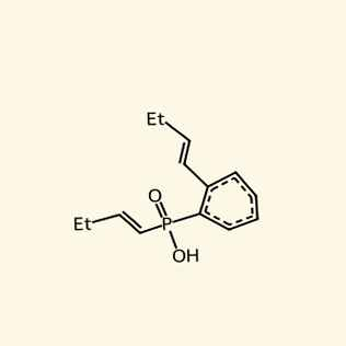 CCC=Cc1ccccc1P(=O)(O)C=CCC